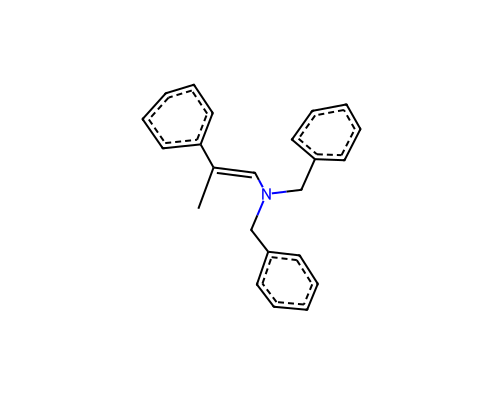 C/C(=C\N(Cc1ccccc1)Cc1ccccc1)c1ccccc1